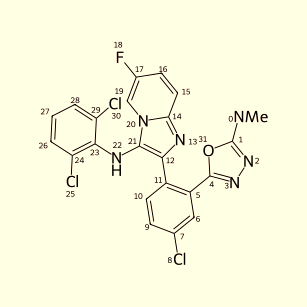 CNc1nnc(-c2cc(Cl)ccc2-c2nc3ccc(F)cn3c2Nc2c(Cl)cccc2Cl)o1